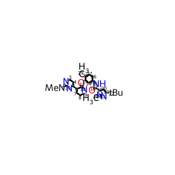 CNc1nccc(-c2cccnc2Oc2cc(NC(=O)c3cc(C(C)(C)C)nn3C)ccc2C)n1